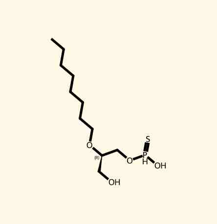 CCCCCCCCO[C@H](CO)CO[PH](O)=S